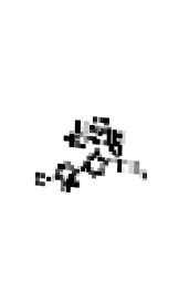 CCc1ccc(-c2ccc(Cl)nn2)cc1C1=C(O)[C@H]2CC[C@H](C2)C1=O